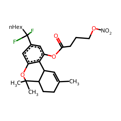 CCCCCCC(F)(F)c1cc(OC(=O)CCCO[N+](=O)[O-])c2c(c1)OC(C)(C)C1CCC(C)=CC21